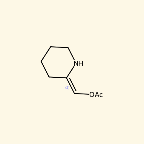 CC(=O)O/C=C1/CCCCN1